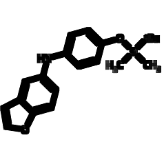 CC(C)(C)[Si](C)(C)Oc1ccc(Nc2ccc3occc3c2)cc1